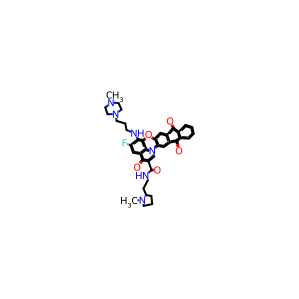 CN1CCN(CCCNc2c(F)cc3c(=O)c(C(=O)NCCC4CCCN4C)cn4c5cc6c(=O)c7ccccc7c(=O)c6cc5oc2c34)CC1